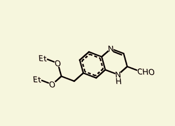 CCOC(Cc1ccc2c(c1)NC(C=O)C=N2)OCC